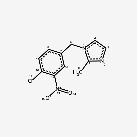 Cc1nccn1Cc1ccc(Cl)c([N+](=O)[O-])c1